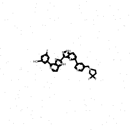 Oc1cc(F)cc(-c2nccc3[nH]c(-c4n[nH]c5ccc(-c6cncc(CN7CCC(F)(F)C7)c6)nc45)nc23)c1